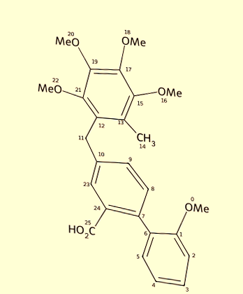 COc1ccccc1-c1ccc(Cc2c(C)c(OC)c(OC)c(OC)c2OC)cc1C(=O)O